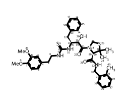 COc1ccc(CCNC(=S)N[C@@H](Cc2ccccc2)[C@H](O)C(=O)N2CSC(C)(C)[C@H]2C(=O)NCc2ccccc2C)cc1OC